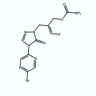 NC(=O)OCC(=CF)Cn1ncn(-c2cnc(Br)cn2)c1=O